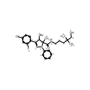 CCCCC1C(c2ccc(Cl)cc2F)=NN(c2ccccc2)C1(C)C(=O)NCCCC(C)(C)CO